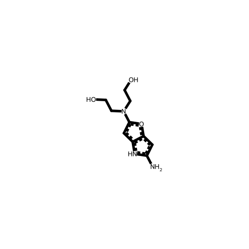 Nc1cc2oc(N(CCO)CCO)cc2[nH]1